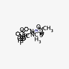 CCNC(=O)/C(=C/c1c(C)nc(CC)n1Cc1ccc2oc(-c3ccccc3NS(=O)(=O)C(F)(F)F)c(Br)c2c1)Cc1cccs1